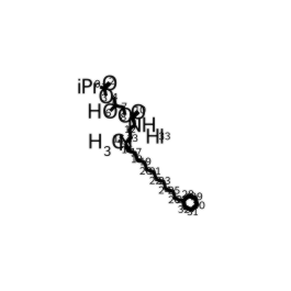 CC(C)C(=O)OCC(O)COC(=O)NCCN(C)CCCCCCCCCCCc1ccccc1.I